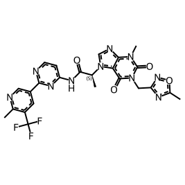 Cc1nc(Cn2c(=O)c3c(ncn3[C@@H](C)C(=O)Nc3ccnc(-c4cnc(C)c(C(F)(F)F)c4)n3)n(C)c2=O)no1